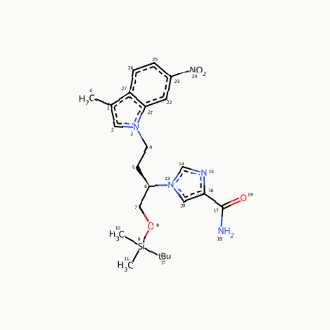 Cc1cn(CC[C@H](CO[Si](C)(C)C(C)(C)C)n2cnc(C(N)=O)c2)c2cc([N+](=O)[O-])ccc12